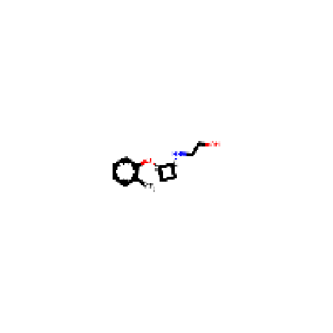 OCCN[C@@H]1CC[C@@H]1Oc1ccccc1C(F)(F)F